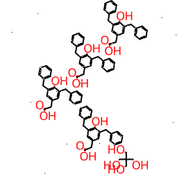 O=C(O)Cc1cc(Cc2ccccc2)c(O)c(Cc2ccccc2)c1.O=C(O)Cc1cc(Cc2ccccc2)c(O)c(Cc2ccccc2)c1.O=C(O)Cc1cc(Cc2ccccc2)c(O)c(Cc2ccccc2)c1.O=C(O)Cc1cc(Cc2ccccc2)c(O)c(Cc2ccccc2)c1.OCC(CO)(CO)CO